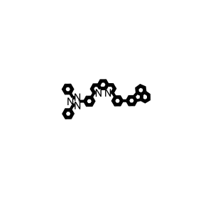 c1ccc(-c2nc(-c3ccccc3)nc(-c3cccc(-c4ccc5ccc6ccc(-c7cccc(-c8ccc9c(c8)-c8cccc%10cccc-9c8%10)c7)nc6c5n4)c3)n2)cc1